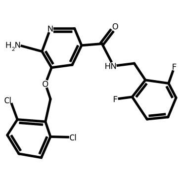 Nc1ncc(C(=O)NCc2c(F)cccc2F)cc1OCc1c(Cl)cccc1Cl